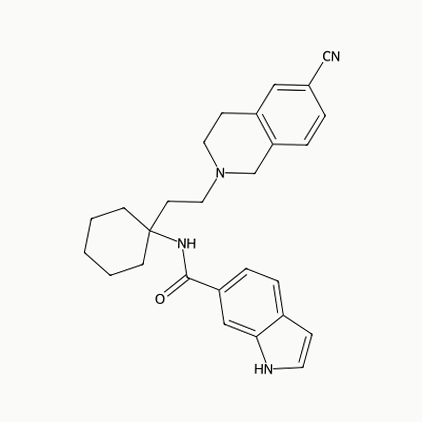 N#Cc1ccc2c(c1)CCN(CCC1(NC(=O)c3ccc4cc[nH]c4c3)CCCCC1)C2